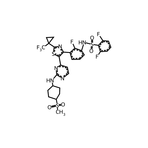 CS(=O)(=O)C1CCC(Nc2nccc(-c3sc(C4(C(F)(F)F)CC4)nc3-c3cccc(NS(=O)(=O)c4c(F)cccc4F)c3F)n2)CC1